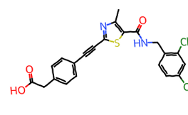 Cc1nc(C#Cc2ccc(CC(=O)O)cc2)sc1C(=O)NCc1ccc(Cl)cc1Cl